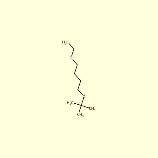 CCOCCCCOC(C)(C)C